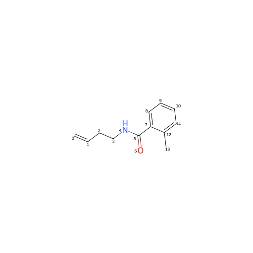 C=CCCNC(=O)c1ccccc1C